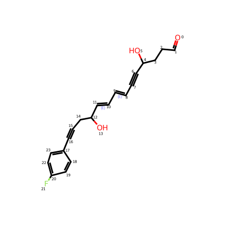 O=CCCC(O)C#C/C=C/C=C/C(O)CC#Cc1ccc(F)cc1